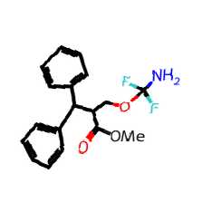 COC(=O)C(COC(N)(F)F)C(c1ccccc1)c1ccccc1